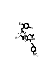 C=C(O)C[C@H](NC(=C)[C@@H](NC(=O)Cc1cc(CC)ccc1CC)C(C)C)C(=O)CSCc1ccc([N+](=O)[O-])cc1